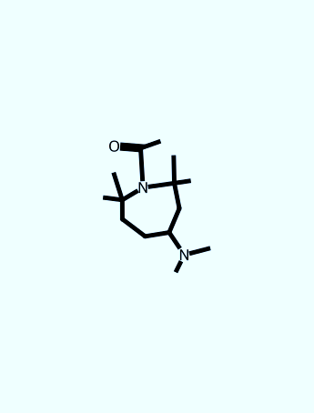 CC(=O)N1C(C)(C)CCC(N(C)C)CC1(C)C